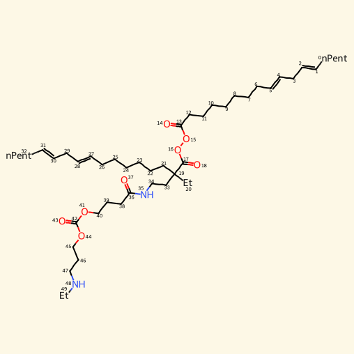 CCCCCC=CCC=CCCCCCCCC(=O)OOC(=O)C(CC)(CCCCCCC=CCC=CCCCCC)CCNC(=O)CCCOC(=O)OCCCNCC